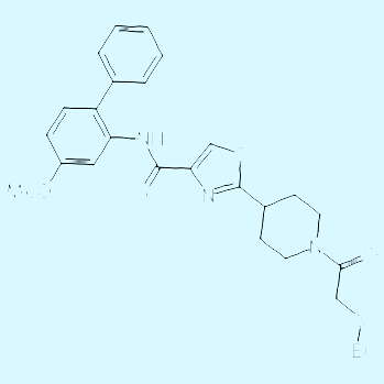 CCSCC(=O)N1CCC(c2nc(C(=O)Nc3cc(OC)ccc3-c3ccccc3)cs2)CC1